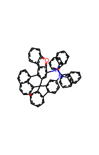 c1ccc(N(c2ccccc2)c2ccc3c(c2)C2(c4ccccc4-3)c3cc(N(c4ccccc4)c4ccccc4)c4oc5ccccc5c4c3-c3cccc4cccc2c34)cc1